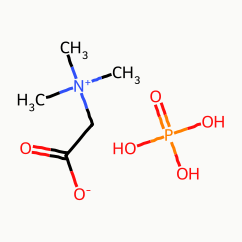 C[N+](C)(C)CC(=O)[O-].O=P(O)(O)O